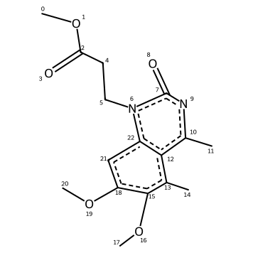 COC(=O)CCn1c(=O)nc(C)c2c(C)c(OC)c(OC)cc21